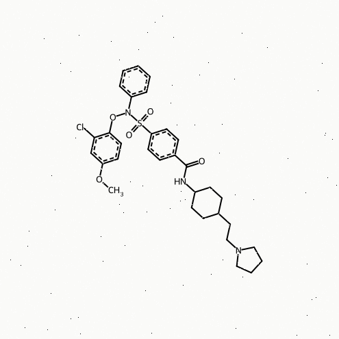 COc1ccc(ON(c2ccccc2)S(=O)(=O)c2ccc(C(=O)NC3CCC(CCN4CCCC4)CC3)cc2)c(Cl)c1